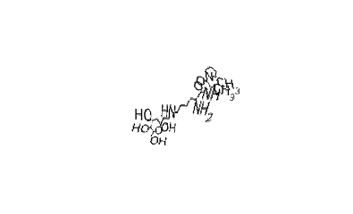 CC(NC(=O)C(N)CCCCNCCC1(O)CC(O)C(O)C(CO)O1)C(=O)N1CCCC1C